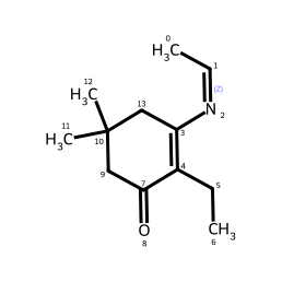 C/C=N\C1=C(CC)C(=O)CC(C)(C)C1